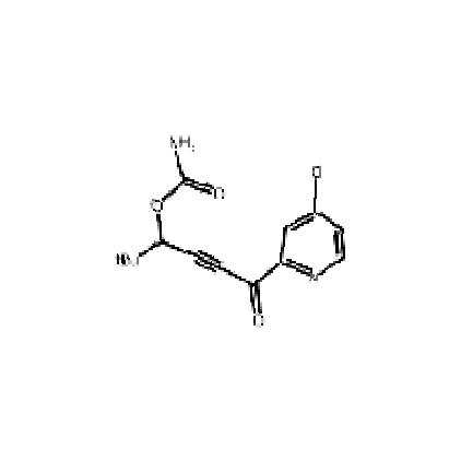 CC(C)(C)C(C#CC(=O)c1cc(Cl)ccn1)OC(N)=O